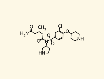 C[C@@H](CC(N)=O)CC(=O)N(C1CCNC1)S(=O)(=O)c1ccc(OC2CCNCC2)c(Cl)c1